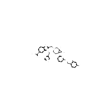 C[C@@H]1[C@@H]2CN(Cc3nc4ccc(C(=O)O)cc4n3Cc3cncs3)CC[C@]12c1cccc(OCc2ccc(Cl)cc2F)n1